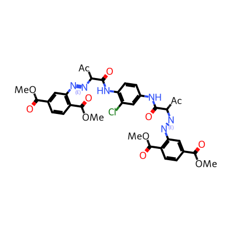 COC(=O)c1ccc(C(=O)OC)c(/N=N/C(C(C)=O)C(=O)Nc2ccc(NC(=O)C(/N=N/c3cc(C(=O)OC)ccc3C(=O)OC)C(C)=O)c(Cl)c2)c1